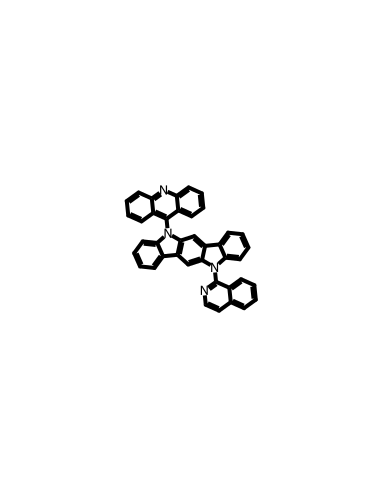 c1ccc2c(-n3c4ccccc4c4cc5c(cc43)c3ccccc3n5-c3c4ccccc4nc4ccccc34)nccc2c1